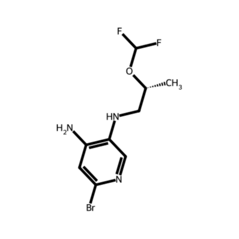 C[C@H](CNc1cnc(Br)cc1N)OC(F)F